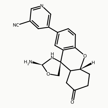 N#Cc1cncc(-c2ccc3c(c2)[C@]2(CO[C@@H](N)N2)C2CC(=O)CC[C@H]2O3)c1